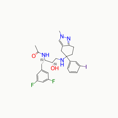 CC(=O)N[C@@H](Cc1cc(F)cc(F)c1)[C@@H](O)CNC1(c2cccc(I)c2)CCc2nn(C)cc2C1